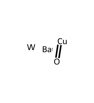 [Ba].[O]=[Cu].[W]